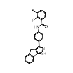 O=C(Nc1ccc(-c2n[nH]c3c2Cc2ccccc2-3)cc1)c1cccc(F)c1F